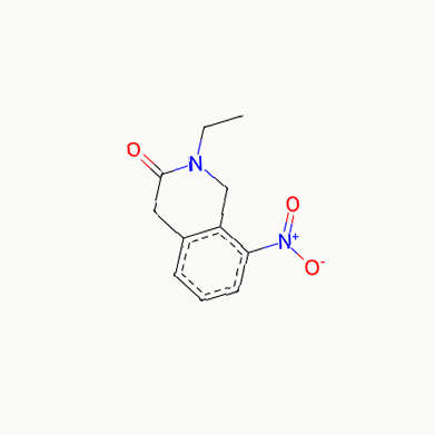 CCN1Cc2c(cccc2[N+](=O)[O-])CC1=O